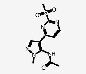 CC(=O)Nc1c(-c2ccnc(S(C)(=O)=O)n2)cnn1C